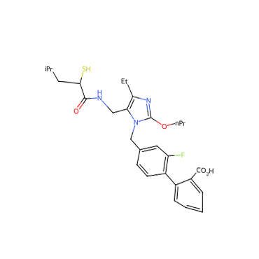 CCCOc1nc(CC)c(CNC(=O)C(S)CC(C)C)n1Cc1ccc(-c2ccccc2C(=O)O)c(F)c1